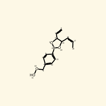 C=CC1OB(c2ccc(COO)cc2)OC1/C=C\C